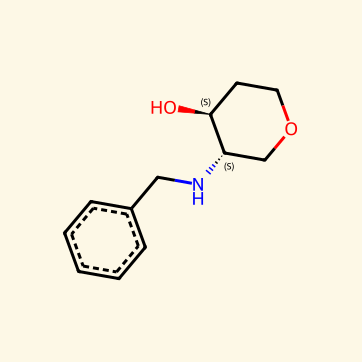 O[C@H]1CCOC[C@@H]1NCc1ccccc1